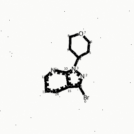 Brc1nn(C2CCOCC2)c2ncccc12